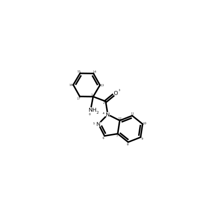 NC1(C(=O)n2ncc3ccccc32)C=CC=CC1